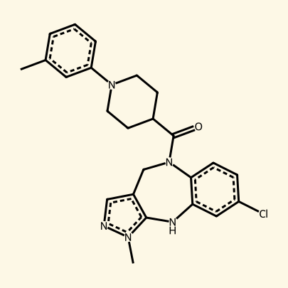 Cc1cccc(N2CCC(C(=O)N3Cc4cnn(C)c4Nc4cc(Cl)ccc43)CC2)c1